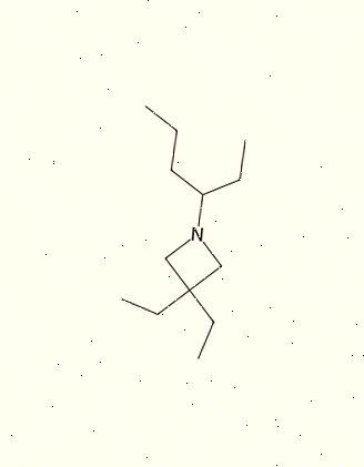 CCCC(CC)N1CC(CC)(CC)C1